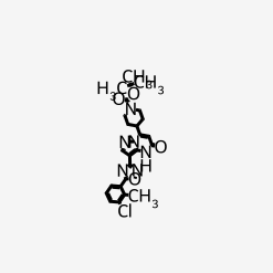 Cc1c(Cl)cccc1-c1nc(-c2cnn3c(C4CCN(C(=O)OC(C)(C)C)CC4)cc(=O)[nH]c23)no1